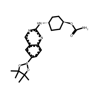 CC1(C)OB(c2ccc3nc(N[C@H]4CC[C@H](OC(N)=O)CC4)ncc3c2)OC1(C)C